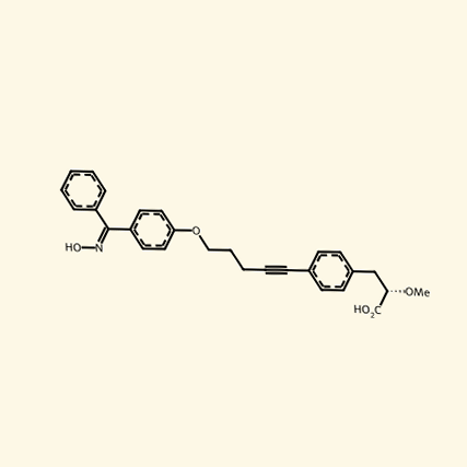 CO[C@@H](Cc1ccc(C#CCCCOc2ccc(C(=NO)c3ccccc3)cc2)cc1)C(=O)O